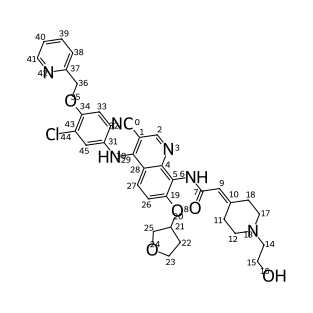 N#Cc1cnc2c(NC(=O)C=C3CCN(CCO)CC3)c(OC3CCOC3)ccc2c1Nc1ccc(OCc2ccccn2)c(Cl)c1